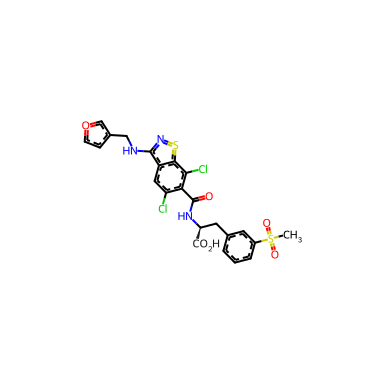 CS(=O)(=O)c1cccc(C[C@H](NC(=O)c2c(Cl)cc3c(NCc4ccoc4)nsc3c2Cl)C(=O)O)c1